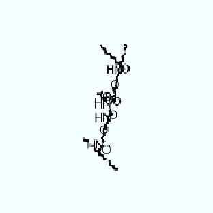 CCCCCCCCC(CCCCCC)C(=O)NCCCOCCCNC(=O)CC[C@H](NC(=O)CC(C)C)C(=O)NCCCOCCCNC(=O)C(CCCCCC)CCCCCCCC